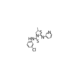 CC1CN(C(=S)Nc2cccc(Cl)c2)C(=Nc2cccnc2)S1